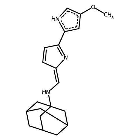 COc1c[nH]c(C2=NC(=CNC34CC5CC(CC(C5)C3)C4)C=C2)c1